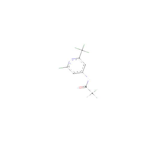 O=C(Nc1cc(Cl)nc(C(F)(F)F)c1)C(F)(F)F